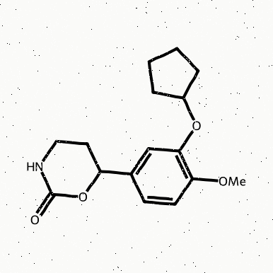 COc1ccc(C2CCNC(=O)O2)cc1OC1CCCC1